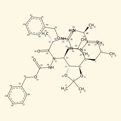 CC(C)C[C@@H]([C@H]1OC(C)(C)O[C@@H]1[C@H](CC(C)C)N(NC(=O)OCc1ccccc1)C(=O)[C@H](C)N)N(NC(=O)OCc1ccccc1)C(=O)[C@H](C)N